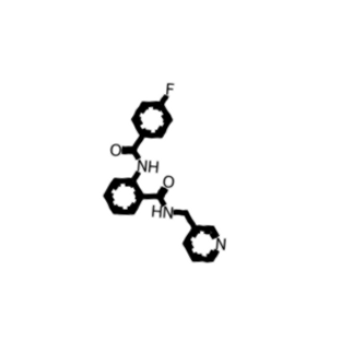 O=C(Nc1ccccc1C(=O)NCc1cccnc1)c1ccc(F)cc1